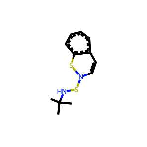 CC(C)(C)NSN1C=Cc2ccccc2S1